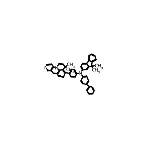 CC1(C)C=CN2c3ccncc3Cc3ccc(-c4ccc(N(c5ccc(-c6ccccc6)cc5)c5ccc6c(c5)C(C)(C)c5ccccc5-6)cc4)c1c32